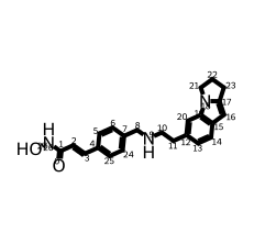 O=C(/C=C/c1ccc(CNCCc2ccc3cc4n(c3c2)CCC4)cc1)NO